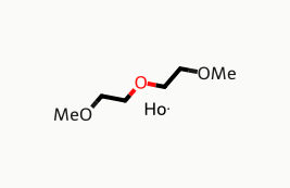 COCCOCCOC.[Ho]